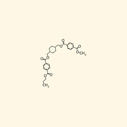 CCCOC(=O)c1ccc(C(=O)OCC2CCC(COC(=O)c3ccc(C(=O)OC)cc3)CC2)cc1